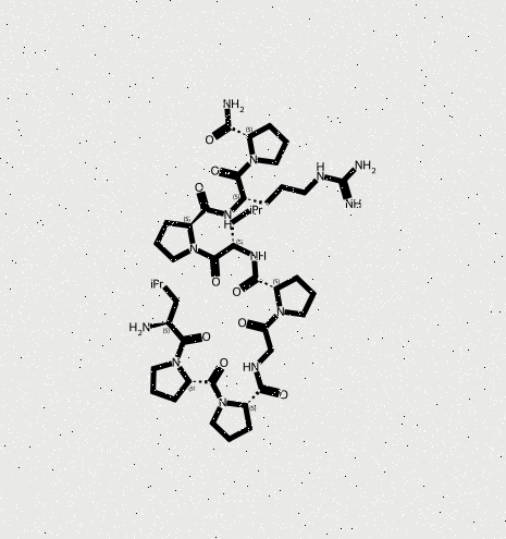 CC(C)C[C@H](NC(=O)[C@@H]1CCCN1C(=O)CNC(=O)[C@@H]1CCCN1C(=O)[C@@H]1CCCN1C(=O)[C@@H](N)CC(C)C)C(=O)N1CCC[C@H]1C(=O)N[C@@H](CCCNC(=N)N)C(=O)N1CCC[C@H]1C(N)=O